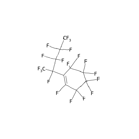 FC1=C(C(F)(C(F)(F)F)C(F)(F)C(F)(F)C(F)(F)F)C(F)(F)C(F)(F)C(F)(F)C1(F)F